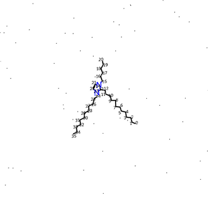 CCCCCCCCCCCCCC1N(CCCCCC)C=CN1CCCCCCCCCCCC